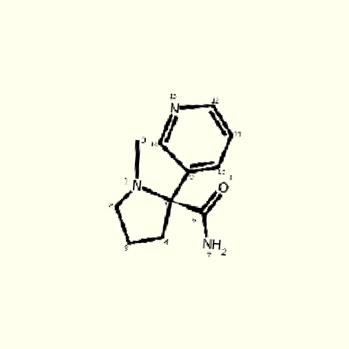 CN1CCC[C@@]1(C(N)=O)c1cccnc1